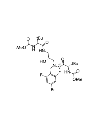 COC(=O)NC(C(=O)NC[C@@H](O)CN(Cc1c(F)cc(Br)cc1F)NC(=O)[C@@H](NC(=O)OC)C(C)(C)C)C(C)(C)C